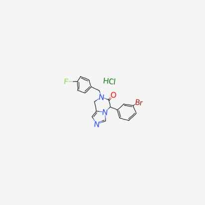 Cl.O=C1C(c2cccc(Br)c2)n2cncc2CN1Cc1ccc(F)cc1